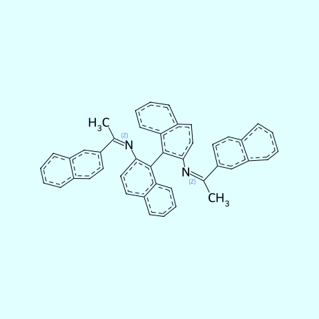 C/C(=N/c1ccc2ccccc2c1-c1c(/N=C(/C)c2ccc3ccccc3c2)ccc2ccccc12)c1ccc2ccccc2c1